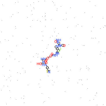 CNC(=O)N1CCc2c(c(N3CCCc4cc(-c5cnn(CCNC(=O)COCCOCC(=O)NC(C(=O)N6C[C@H](O)C[C@H]6C(=O)NCc6ccc(-c7scnc7C)cc6)C(C)(C)C)c5)c(C(F)F)cc43)nn2C2CCOCC2)C1